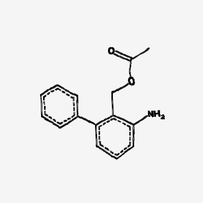 CC(=O)OCc1c(N)cccc1-c1ccccc1